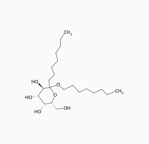 CCCCCCCCOC1(CCCCCCCC)O[C@H](CO)[C@H](O)[C@H](O)[C@H]1O